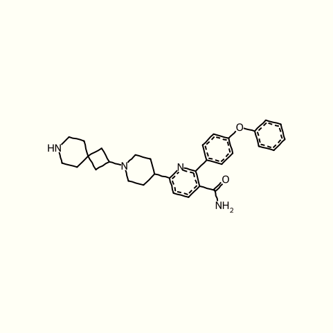 NC(=O)c1ccc(C2CCN(C3CC4(CCNCC4)C3)CC2)nc1-c1ccc(Oc2ccccc2)cc1